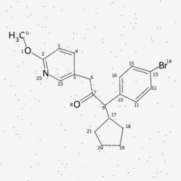 COc1ccc(CC(=O)C(c2ccc(Br)cc2)C2CCCC2)cn1